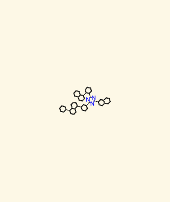 c1ccc(-c2cccc3c(-c4cccc(-c5nc(-c6ccc7ccccc7c6)nc(-c6ccccc6-c6cccc7ccccc67)n5)c4)cccc23)cc1